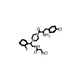 CCC(=O)NCC(c1ccccc1F)N1CCN(C(=O)C(N)Cc2ccc(Cl)cc2)CC1.Cl